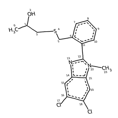 CC(O)CSCc1ccccc1-c1nc2cc(Cl)c(Cl)cc2n1C